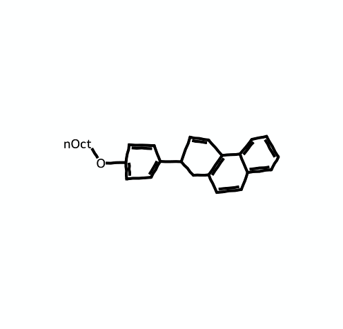 CCCCCCCCOc1ccc(C2C=Cc3c(ccc4ccccc34)C2)cc1